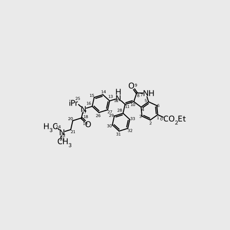 CCOC(=O)c1ccc2c(c1)NC(=O)/C2=C(\Nc1ccc(N(C(=O)CCN(C)C)C(C)C)cc1)c1ccccc1